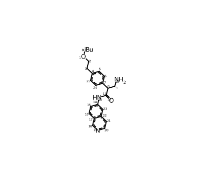 CCC(C)OCCc1ccc(C(CN)C(=O)Nc2ccc3cnccc3c2)cc1